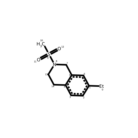 CCc1ccc2c(c1)CN(S(C)(=O)=O)CC2